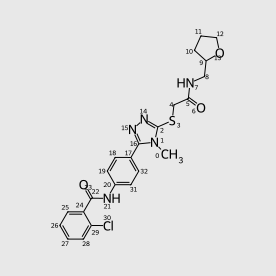 Cn1c(SCC(=O)NCC2CCCO2)nnc1-c1ccc(NC(=O)c2ccccc2Cl)cc1